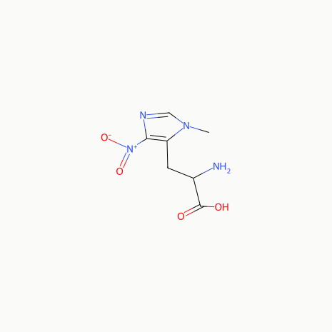 Cn1cnc([N+](=O)[O-])c1CC(N)C(=O)O